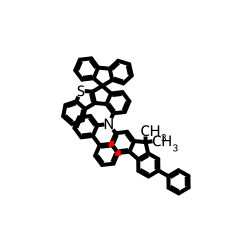 CC1(C)c2cc(-c3ccccc3)ccc2-c2ccc(N(c3ccccc3-c3ccccc3)c3cccc4c3-c3c(sc5ccccc35)C43c4ccccc4-c4ccccc43)cc21